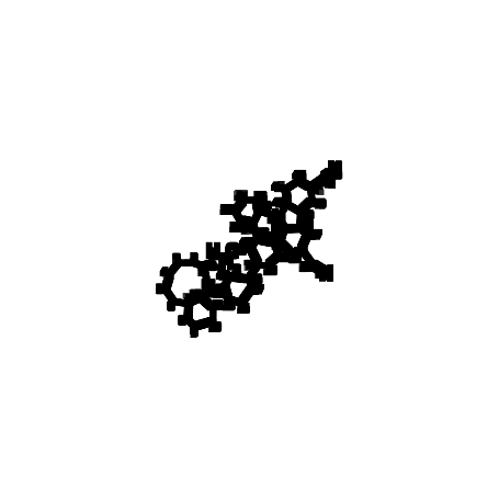 C=C1CC/C=C\Cc2ccccc2N1c1cccc(-c2cccc(-c3ccccc3-n3c4ccc(C#N)cc4c4cc(C#N)ccc43)c2C)c1